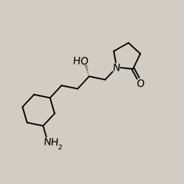 NC1CCCC(CC[C@H](O)CN2CCCC2=O)C1